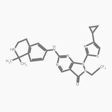 CC1(C)NCCc2cc(Nc3ncc4c(=O)n(CC(F)(F)F)n(-c5nc(C6CC6)cs5)c4n3)ccc21